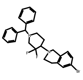 FC1(F)CN(C(c2ccccc2)c2ccccc2)CCC1N1CCc2cc(Br)ccc2C1